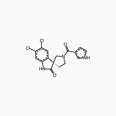 O=C(c1cc[nH]c1)N1CC[C@]2(C1)C(=O)Nc1cc(Cl)c(Cl)cc12